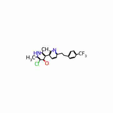 Cc1[nH]c(C)c(-c2ccc(CCc3ccc(C(F)(F)F)cc3)nc2)c(=O)c1Cl